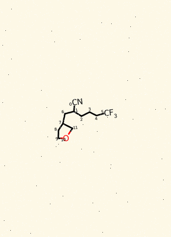 N#CC(CCCC(F)(F)F)CC1CCOC1